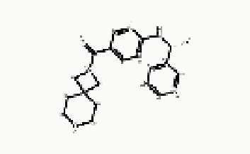 C[C@@H](Nc1ncc(C(=O)N2CC3(CCOCC3)C2)cn1)c1cncnc1